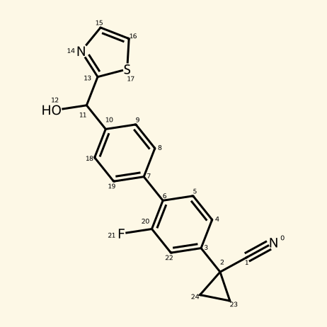 N#CC1(c2ccc(-c3ccc(C(O)c4nccs4)cc3)c(F)c2)CC1